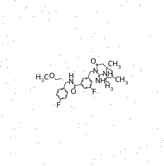 COCC[C@H](NC(=O)c1cc(F)cc(CN2C(=N)N[C@](C)(CC(C)C)CC2=O)c1)c1ccc(F)cc1